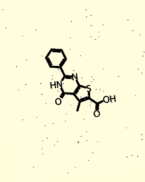 Cc1c(C(=O)O)sc2nc(-c3ccccc3)[nH]c(=O)c12